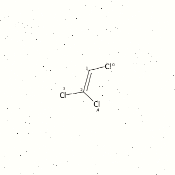 Cl[C]=C(Cl)Cl